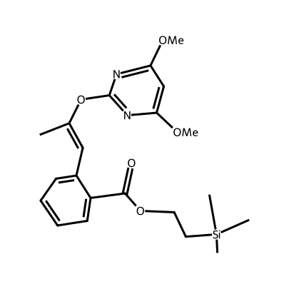 COc1cc(OC)nc(OC(C)=Cc2ccccc2C(=O)OCC[Si](C)(C)C)n1